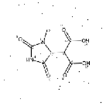 CN1C(=O)NC(=O)C1C(C(=O)O)C(=O)O